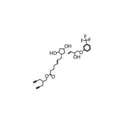 C#CCC(CC#C)COC(=O)CCCC=CC[C@@H]1[C@@H](C=CC(O)COc2cccc(C(F)(F)F)c2)[C@H](O)C[C@@H]1O